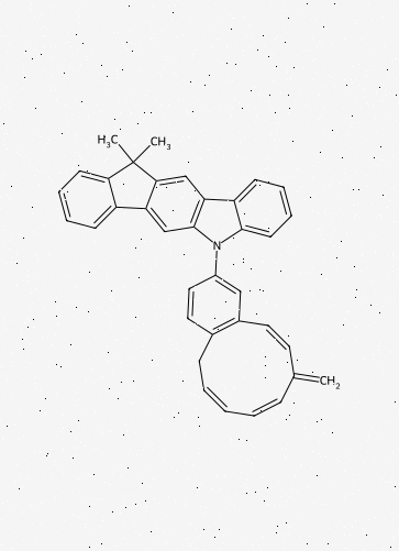 C=C1/C=C\C=C/Cc2ccc(-n3c4ccccc4c4cc5c(cc43)-c3ccccc3C5(C)C)cc2/C=C\1